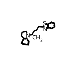 C=C(CCCc1nc2ccccc2s1)N1CCCc2ccccc21